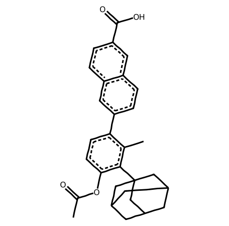 CC(=O)Oc1ccc(-c2ccc3cc(C(=O)O)ccc3c2)c(C)c1C12CC3CC(CC(C3)C1)C2